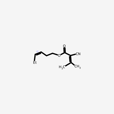 CC/C=C\CCOC(=O)C(C#N)=C(C)C